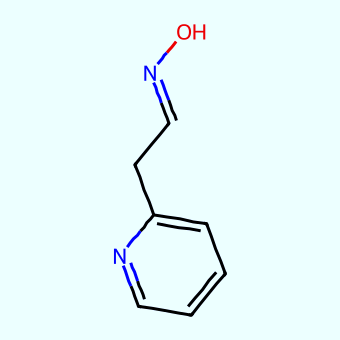 ON=CCc1ccccn1